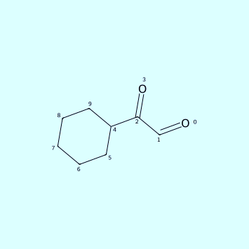 O=CC(=O)C1CCCCC1